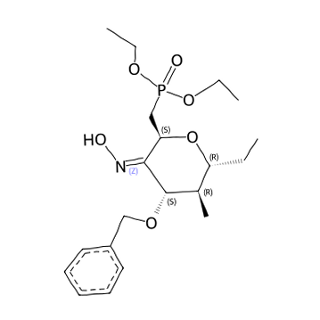 CCOP(=O)(C[C@H]1O[C@H](CC)[C@@H](C)[C@H](OCc2ccccc2)/C1=N/O)OCC